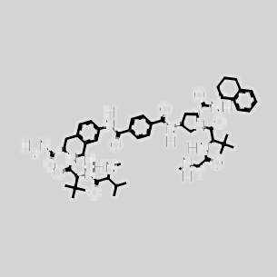 CNC(C(=O)N[C@H](C(=O)N1Cc2cc(NC(=O)c3ccc(C(=O)N[C@H]4C[C@@H](C(=O)N[C@@H]5CCCc6ccccc65)N(C(=O)C(NC(=O)[C@H](C)NC)C(C)(C)C)C4)cc3)ccc2C[C@H]1C(N)=O)C(C)(C)C)C(C)C